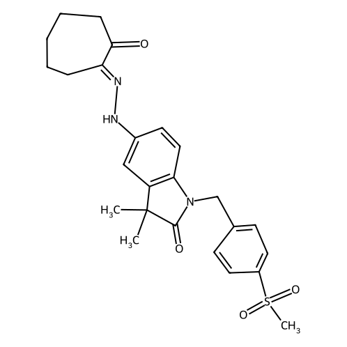 CC1(C)C(=O)N(Cc2ccc(S(C)(=O)=O)cc2)c2ccc(N/N=C3\CCCCCC3=O)cc21